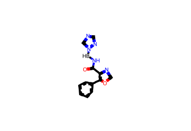 O=C(NBn1cncn1)c1ncoc1-c1ccccc1